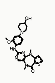 COc1cc(N2CCC(O)CC2)ccc1Nc1ncc2c(n1)N(C)c1ccsc1C(=O)N2C